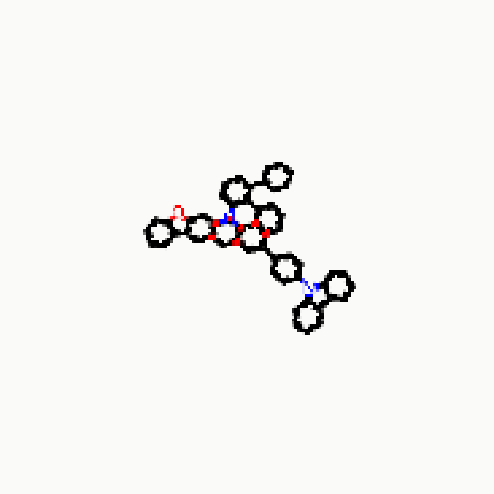 c1ccc(-c2ccccc2-c2c(-c3ccccc3)cccc2N(c2ccc(-c3ccc(-n4c5ccccc5c5ccccc54)cc3)cc2)c2ccc3c(c2)oc2ccccc23)cc1